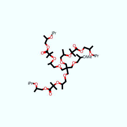 COC(C)COCC(COCC(C)OC(C)(C)C(=O)OCC(C)OC(C)C)(COCC(C)OC(C)(C)C(=O)OCC(C)OC(C)C)COCC(C)OC(C)(C)C(=O)OCC(C)OC(C)C